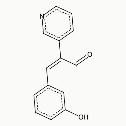 O=[C]C(=Cc1cccc(O)c1)c1cccnc1